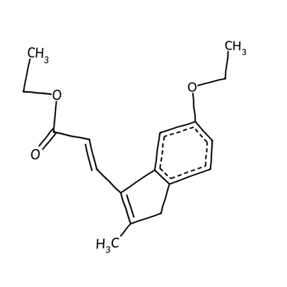 CCOC(=O)C=CC1=C(C)Cc2ccc(OCC)cc21